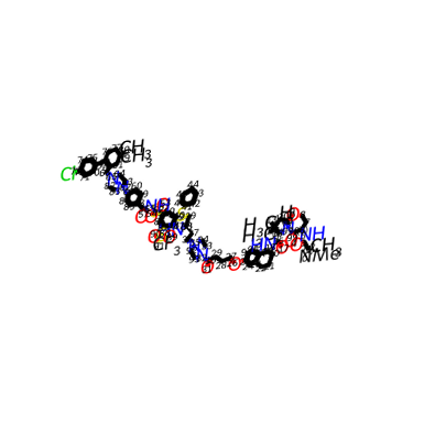 CN[C@@H](C)C(=O)N[C@H]1CCO[C@H]2CC(C)(C)[C@@H](C(=O)N[C@@H]3CCCc4cc(OCCCC(=O)N5CCN(CC[C@H](CSc6ccccc6)Nc6ccc(S(=O)(=O)NC(=O)c7ccc(N8CCN(CC9=C(c%10ccc(Cl)cc%10)CCC(C)(C)C9)CC8)cc7)cc6S(=O)(=O)C(F)(F)F)CC5)ccc43)N2C1=O